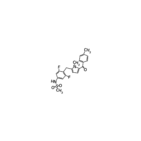 Cc1ccc(C(=O)c2ccc(Cc3c(F)cc(NS(C)(=O)=O)cc3F)n2C)cc1